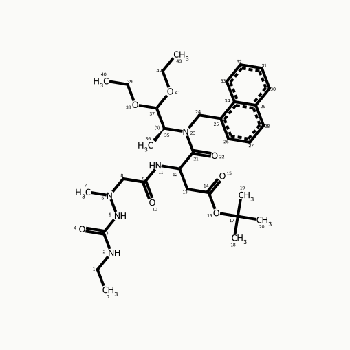 CCNC(=O)NN(C)CC(=O)NC(CC(=O)OC(C)(C)C)C(=O)N(Cc1cccc2ccccc12)[C@@H](C)C(OCC)OCC